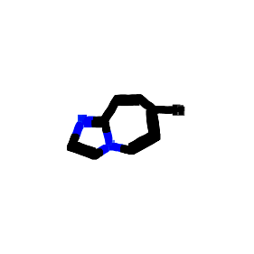 CCC1=C=Cn2ccnc2C=C1